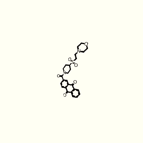 O=C1c2ccccc2C(=O)c2cc(C(=O)N3CCC(S(=O)(=O)CCN4CCOCC4)CC3)ccc21